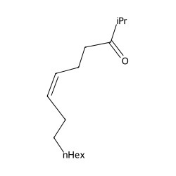 CCCCCCCC/C=C\CCC(=O)C(C)C